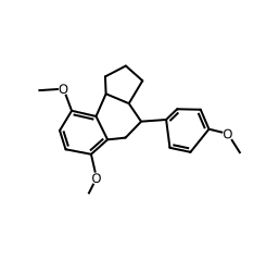 COc1ccc(C2Cc3c(OC)ccc(OC)c3C3CCCC23)cc1